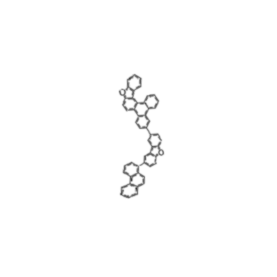 c1ccc2c(c1)ccc1c(-c3ccc4oc5ccc(-c6ccc7c(c6)c6ccccc6c6c7ccc7oc8ccccc8c76)cc5c4c3)cccc12